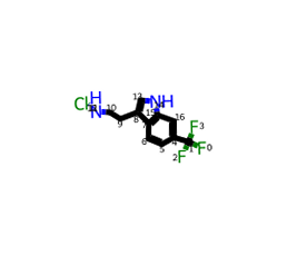 FC(F)(F)c1ccc2c(CCNCl)c[nH]c2c1